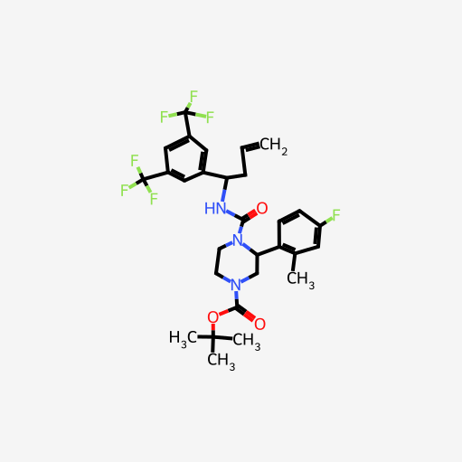 C=CCC(NC(=O)N1CCN(C(=O)OC(C)(C)C)CC1c1ccc(F)cc1C)c1cc(C(F)(F)F)cc(C(F)(F)F)c1